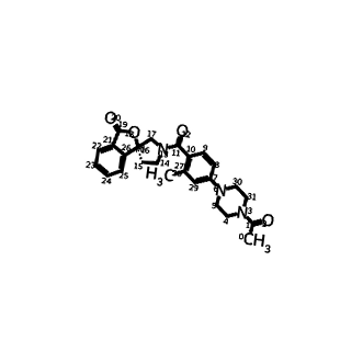 CC(=O)N1CCN(c2ccc(C(=O)N3CC[C@@]4(C3)OC(=O)c3ccccc34)c(C)c2)CC1